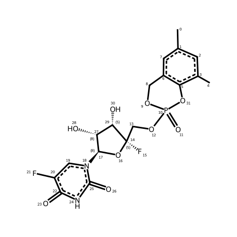 Cc1cc(C)c2c(c1)COP(=O)(OC[C@@]1(F)O[C@@H](n3cc(F)c(=O)[nH]c3=O)[C@H](O)[C@@H]1O)O2